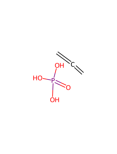 C=C=C.O=P(O)(O)O